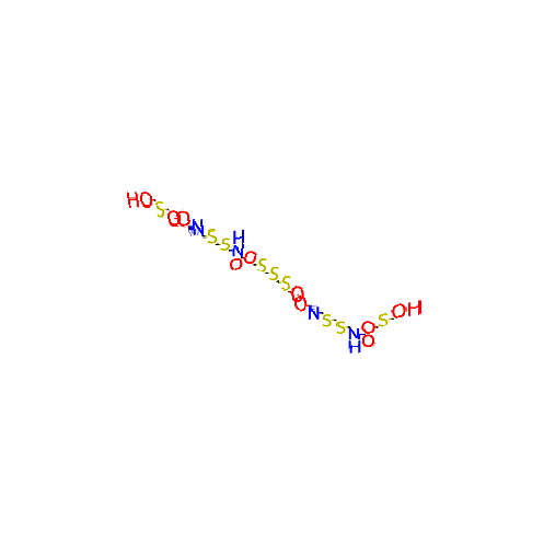 O=C(NCSCSC/N=C/OOCSCSCSCOC(=O)NCSCSC/N=C/OOCSCO)OCSCO